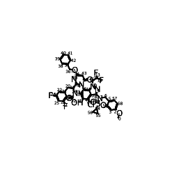 COc1ccc(CN(c2nn(CC(F)F)c3c(-n4c(C(Cc5cc(F)cc(F)c5)NC(=O)O)nc(OCc5ccccc5)cc4=O)ccc(Cl)c23)S(=O)(=O)C2CC2)cc1